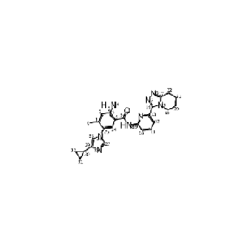 Cc1cc(N)c(C(=O)Nc2cccc(-c3nnc4n3CCCC4)n2)cc1-n1cnc(C2CC2)c1